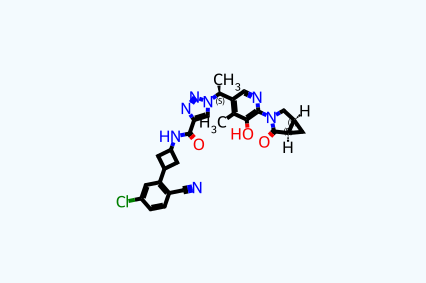 Cc1c([C@H](C)n2cc(C(=O)NC3CC(c4cc(Cl)ccc4C#N)C3)nn2)cnc(N2C[C@H]3C[C@H]3C2=O)c1O